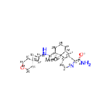 COC1(c2ccnc(C(N)=O)c2)/C(=C/NC2CC3(CCOCC3)C2)CCCC1C